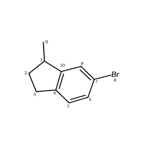 CC1CCc2ccc(Br)cc21